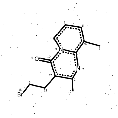 Cc1nc2c(C)cccn2c(=O)c1CCBr